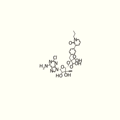 C#C[C@@]1(O)[C@@H](COC(Cc2ccc(-c3cccn(CCC)c3=O)cc2)(C(=O)O)C(=O)O)O[C@@H](n2cnc3c(N)nc(Cl)nc32)[C@@H]1O